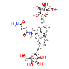 NC(=O)CCC(=O)N1CCC2(CC1)c1cc(C#C[C@H]3O[C@H](CO)[C@@H](O)[C@H](O)[C@@H]3O)ccc1-c1ccc(C#C[C@H]3O[C@H](CO)[C@@H](O)[C@H](O)[C@@H]3O)cc12